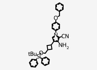 CC(C)(C)[Si](OCC1CC(c2cn(-c3ccc(OCc4ccccc4)cc3)c(C#N)c2N)C1)(c1ccccc1)c1ccccc1